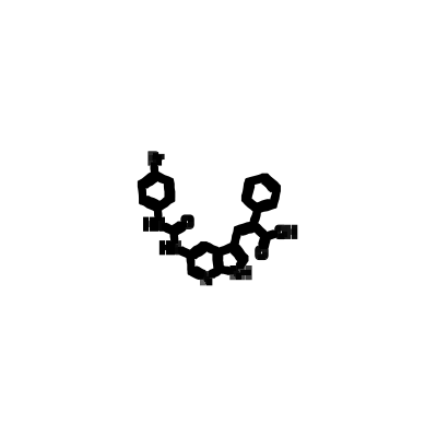 O=C(Nc1ccc(Br)cc1)Nc1cnc2[nH]cc(C=C(C(=O)O)c3ccccc3)c2c1